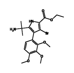 CCOC(=O)c1[nH]c(C(C)(C)N)c(-c2ccc(OC)c(OC)c2OC)c1Br